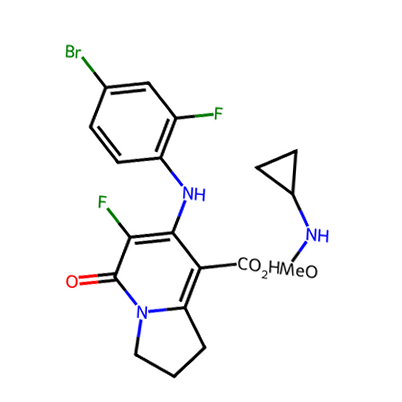 CONC1CC1.O=C(O)c1c(Nc2ccc(Br)cc2F)c(F)c(=O)n2c1CCC2